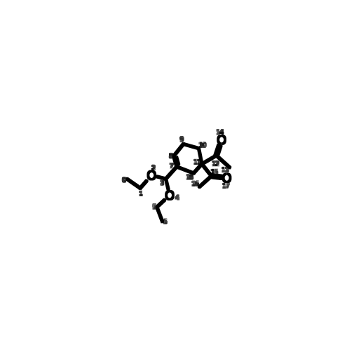 CCOC(OCC)C1=CCCC(C(C)=O)(C(C)=O)C1